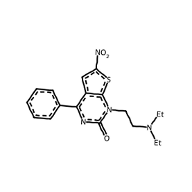 CCN(CC)CCn1c(=O)nc(-c2ccccc2)c2cc([N+](=O)[O-])sc21